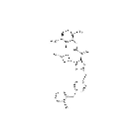 COc1ccc(P)c(CNC(=O)c2cn(Cc3ccc(Cn4ccccc4=O)cc3)nc2C2CN(C(C)=O)C2)c1F